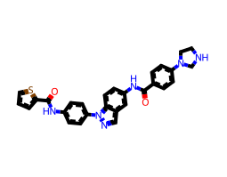 O=C(Nc1ccc2c(cnn2-c2ccc(NC(=O)c3cccs3)cc2)c1)c1ccc(N2CCNC2)cc1